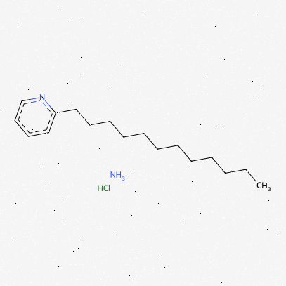 CCCCCCCCCCCCc1ccccn1.Cl.N